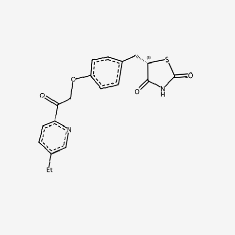 CCc1ccc(C(=O)COc2ccc(C[C@@H]3SC(=O)NC3=O)cc2)nc1